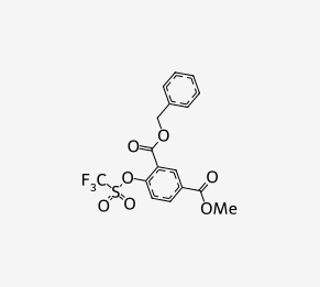 COC(=O)c1ccc(OS(=O)(=O)C(F)(F)F)c(C(=O)OCc2ccccc2)c1